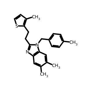 Cc1ccc(Cn2c(CCc3sccc3C)nc3cc(C)c(C)cc32)cc1